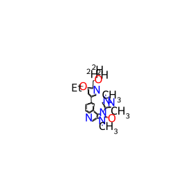 [2H]C([2H])([2H])OCc1ncc(-c2ccc3ncc4c(c3c2)n(-c2cn(C)nc2C)c(=O)n4C)cc1OCC